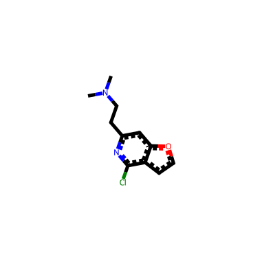 CN(C)CCc1cc2occc2c(Cl)n1